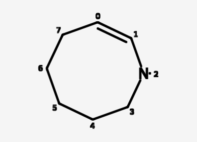 C1=C[N]CCCCC1